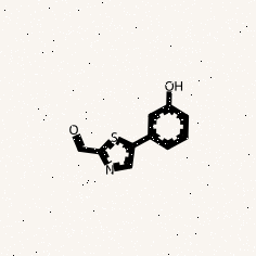 O=Cc1ncc(-c2cccc(O)c2)s1